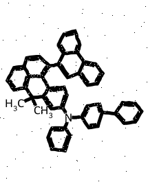 CC1(C)c2cc(N(c3ccccc3)c3ccc(-c4ccccc4)cc3)ccc2-c2c(-c3cc4ccccc4c4ccccc34)ccc3cccc1c23